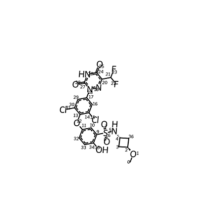 CO[C@H]1C[C@H](NS(=O)(=O)c2cc(Oc3c(Cl)cc(-n4nc(C(F)F)c(=O)[nH]c4=O)cc3Cl)ccc2O)C1